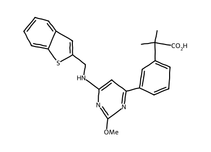 COc1nc(NCc2cc3ccccc3s2)cc(-c2cccc(C(C)(C)C(=O)O)c2)n1